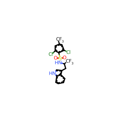 O=S(=O)(NC(Cc1c[nH]c2ccccc12)C(F)(F)F)c1c(Cl)cc(C(F)(F)F)cc1Cl